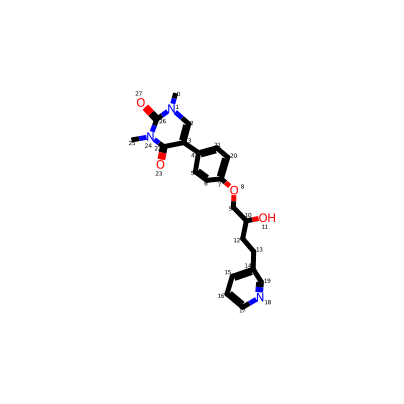 Cn1cc(-c2ccc(OCC(O)CCc3cccnc3)cc2)c(=O)n(C)c1=O